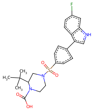 CC(C)(C)C1CN(S(=O)(=O)c2ccc(-c3c[nH]c4cc(F)ccc34)cc2)CCN1C(=O)O